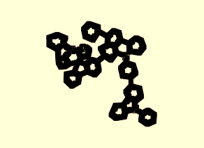 c1ccc(-c2ccc(-c3ccccc3N(c3ccc(-c4ccc5c(c4)c4ccccc4n5-c4ccccc4)cc3)c3cccc(-c4ccc5c(c4)C4(c6ccccc6-5)c5ccccc5-n5c6ccccc6c6cccc4c65)c3)cc2)cc1